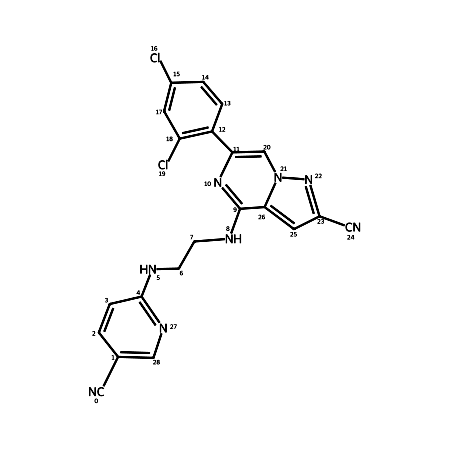 N#Cc1ccc(NCCNc2nc(-c3ccc(Cl)cc3Cl)cn3nc(C#N)cc23)nc1